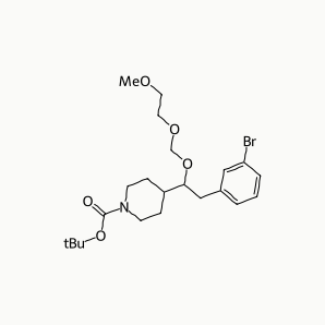 COCCOCOC(Cc1cccc(Br)c1)C1CCN(C(=O)OC(C)(C)C)CC1